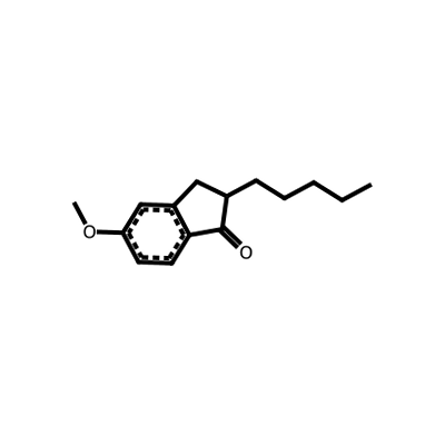 CCCCCC1Cc2cc(OC)ccc2C1=O